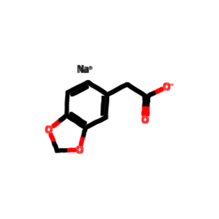 O=C([O-])Cc1ccc2c(c1)OCO2.[Na+]